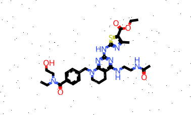 CCOC(=O)c1sc(Nc2nc(NCCNC(C)=O)c3c(n2)N(Cc2ccc(C(=O)N(CC)CCO)cc2)CCC3)nc1C